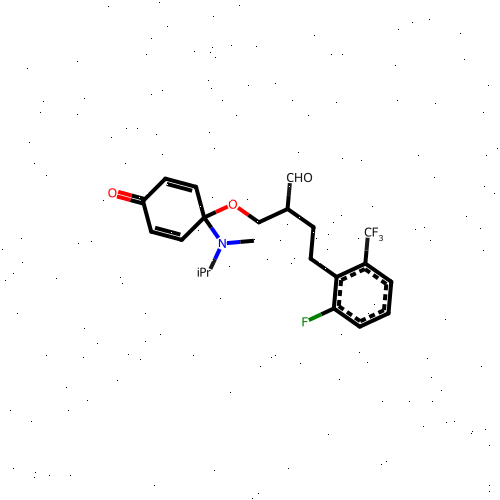 CC(C)N(C)C1(OCC(C=O)CCc2c(F)cccc2C(F)(F)F)C=CC(=O)C=C1